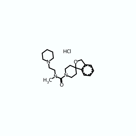 CN(CCN1CCCCC1)C(=O)N1CCC2(CC1)OCc1ccccc12.Cl